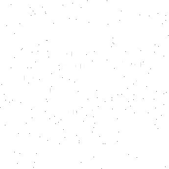 Cc1cc2c(cc1C(=O)c1ccc(S(=O)(=O)O)cc1)C(C)(C)CCC2(C)C